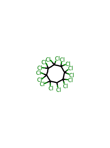 ClC1C(Cl)(Cl)C(Cl)(Cl)C(Cl)(Cl)C(Cl)(Cl)C(Cl)(Cl)C(Cl)(Cl)C1(Cl)Cl